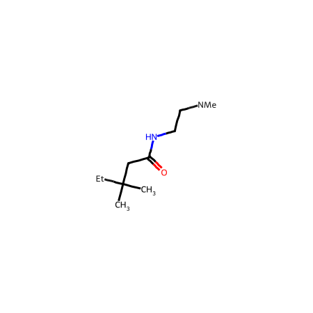 CCC(C)(C)CC(=O)NCCNC